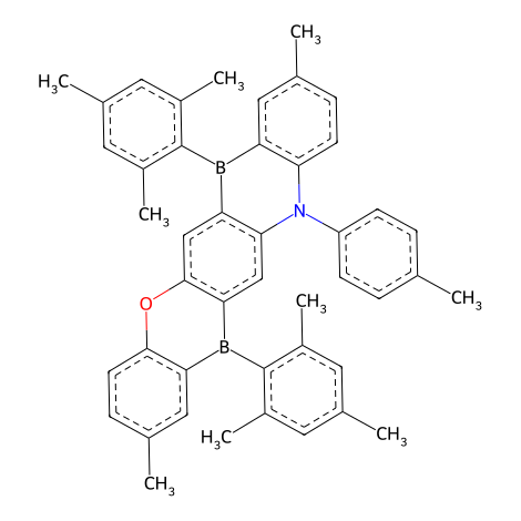 Cc1ccc(N2c3ccc(C)cc3B(c3c(C)cc(C)cc3C)c3cc4c(cc32)B(c2c(C)cc(C)cc2C)c2cc(C)ccc2O4)cc1